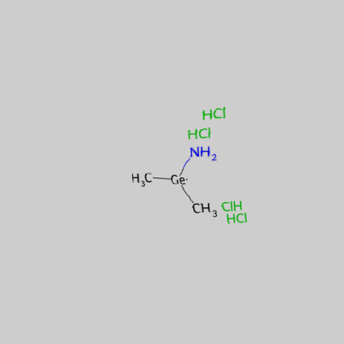 Cl.Cl.Cl.Cl.[CH3][Ge]([CH3])[NH2]